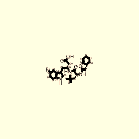 CC(C)(C)C[C@H](Nc1nc2ccccc2o1)C(=O)N[C@H](CC(=O)O)CC1CNc2ccc(F)cc21